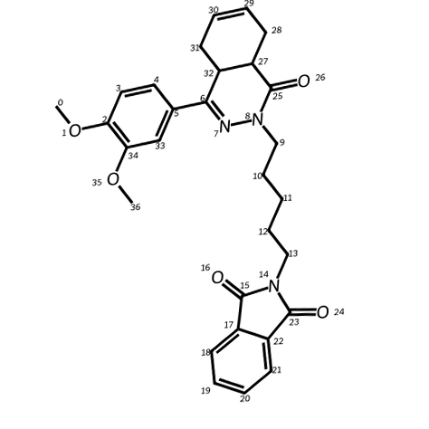 COc1ccc(C2=NN(CCCCCN3C(=O)c4ccccc4C3=O)C(=O)C3CC=CCC23)cc1OC